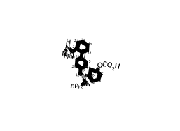 CCCc1nc2ccc(OC(=O)O)cc2n1Cc1ccc(-c2ccccc2-c2nnn[nH]2)cc1